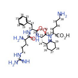 N=C(N)NCCC[C@@H](N)C(=O)N[C@@H](Cc1ccccc1)C(=O)N[C@@H](CC1CCCCC1)C(=O)N[C@@H](CCCCN)C(=O)O